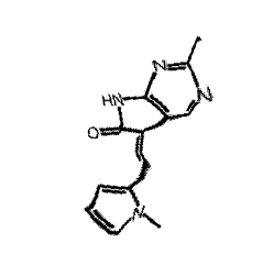 Cc1ncc2c(n1)NC(=O)C2=Cc1cccn1C